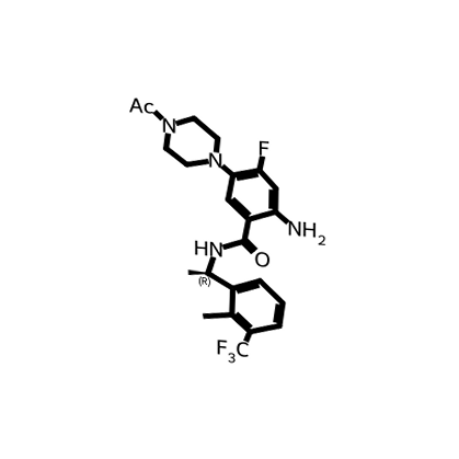 CC(=O)N1CCN(c2cc(C(=O)N[C@H](C)c3cccc(C(F)(F)F)c3C)c(N)cc2F)CC1